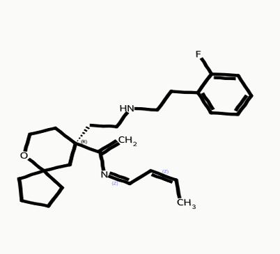 C=C(/N=C\C=C/C)[C@]1(CCNCCc2ccccc2F)CCOC2(CCCC2)C1